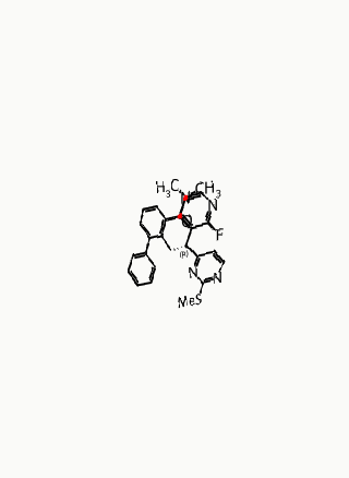 CSc1nccc([C@H](Cc2c(C(=O)N(C)C)cccc2-c2ccccc2)c2cccnc2F)n1